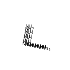 N.N.N.N.N.N.N.N.N.N.N.N.N.N.N.N